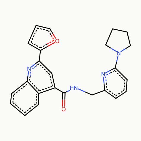 O=C(NCc1cccc(N2CCCC2)n1)c1cc(-c2ccco2)nc2ccccc12